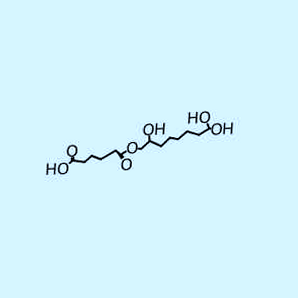 O=C(O)CCCCC(=O)OCC(O)CCCCCC(O)O